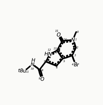 Cn1cc(Br)c2cc(C(=O)NC(C)(C)C)[nH]c2c1=O